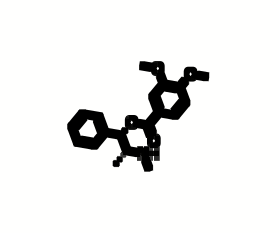 CN[C@H](C)[C@@H](OC(=O)c1ccc(OC)c(OC)c1)c1ccccc1